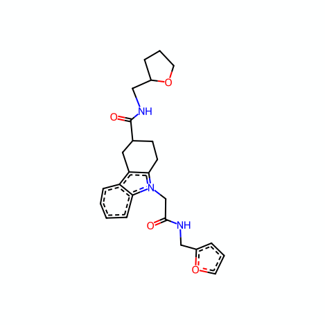 O=C(Cn1c2c(c3ccccc31)CC(C(=O)NCC1CCCO1)CC2)NCc1ccco1